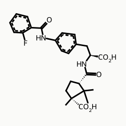 CC1(C)[C@@H](C(=O)N[C@@H](Cc2ccc(NC(=O)c3ccccc3F)cc2)C(=O)O)CC[C@@]1(C)C(=O)O